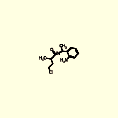 CC(CCCl)C(=O)NC(C)c1ccccc1N